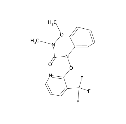 CON(C)C(=O)N(Oc1ncccc1C(F)(F)F)c1ccccc1